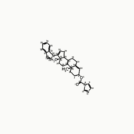 C[C@]12CCC(OC(=O)n3ccnc3)C=C1CCC1C2CC[C@]2(C)C(n3cnc4ccccc43)=CCC12